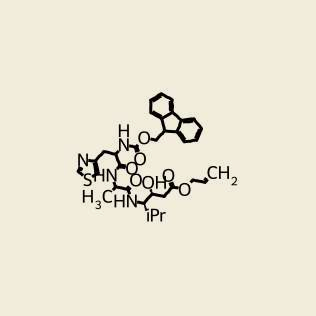 C=CCOC(=O)C[C@H](O)[C@H](NC(=O)C(C)NC(=O)C(Cc1cscn1)NC(=O)OCC1c2ccccc2-c2ccccc21)C(C)C